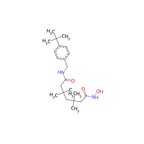 CC(C)(CC(=O)NO)CC(C)(C)CC(=O)NCc1ccc(C(C)(C)C)cc1